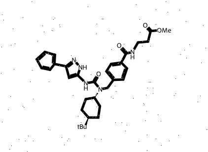 COC(=O)CCNC(=O)c1ccc(CN(C(=O)Nc2cc(-c3ccccc3)n[nH]2)[C@H]2CC[C@H](C(C)(C)C)CC2)cc1